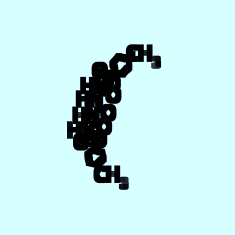 Cc1ccc(S(=O)(=O)NC(=O)NC(=O)NC(=O)NS(=O)(=O)c2ccc(C)cc2)cc1